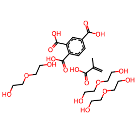 C=C(C)C(=O)O.O=C(O)c1ccc(C(=O)O)c(C(=O)O)c1.OCCOCCO.OCCOCCO.OCCOCCO